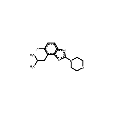 CC(C)Cc1c(N)ccc2nc(N3CCOCC3)oc12